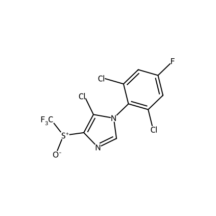 [O-][S+](c1ncn(-c2c(Cl)cc(F)cc2Cl)c1Cl)C(F)(F)F